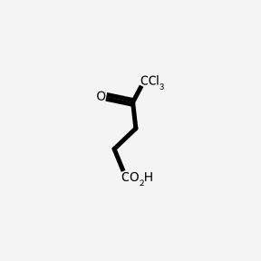 O=C(O)CCC(=O)C(Cl)(Cl)Cl